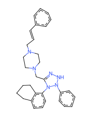 C(=Cc1ccccc1)CN1CCN(CC2=NNN(c3ccccc3)N2c2cccc3c2CCCC3)CC1